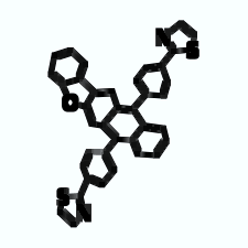 c1ccc2c(c1)oc1cc3c(-c4ccc(-c5nccs5)cc4)c4ccccc4c(-c4ccc(-c5nccs5)cc4)c3cc12